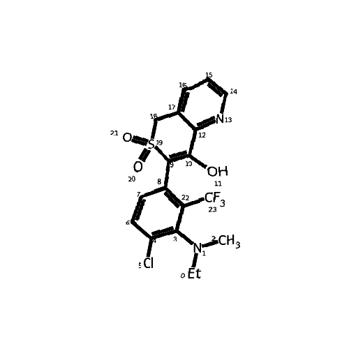 CCN(C)c1c(Cl)ccc(C2=C(O)c3ncccc3CS2(=O)=O)c1C(F)(F)F